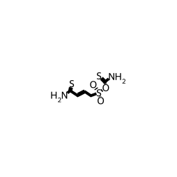 NC(=S)C=CCS(=O)(=O)OC(N)=S